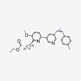 CCOC(=O)[C@H]1C[C@@H]1c1nc(-c2cncc(/C=C\c3ccc(C)cc3)c2)ccc1OC